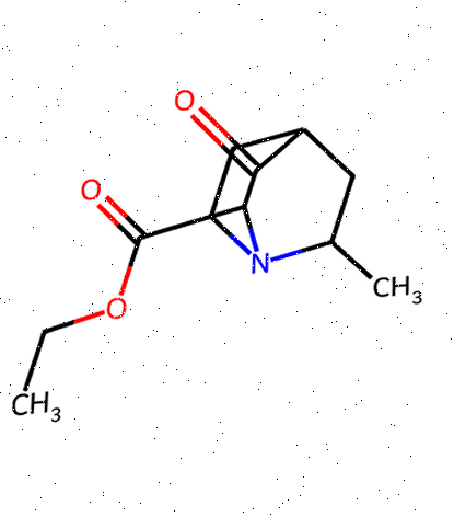 CCOC(=O)C1C(=O)C2CCN1C(C)C2